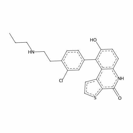 CCCNCCc1ccc(-c2c(O)ccc3[nH]c(=O)c4sccc4c23)cc1Cl